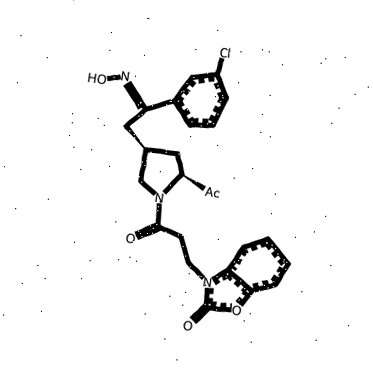 CC(=O)[C@@H]1C[C@H](C/C(=N\O)c2cccc(Cl)c2)CN1C(=O)CCn1c(=O)oc2ccccc21